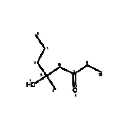 CCCC(C)(O)CC(=O)CC